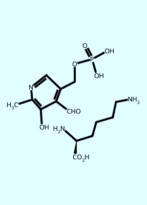 Cc1ncc(COP(=O)(O)O)c(C=O)c1O.NCCCC[C@H](N)C(=O)O